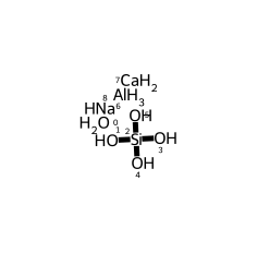 O.O[Si](O)(O)O.[AlH3].[CaH2].[NaH]